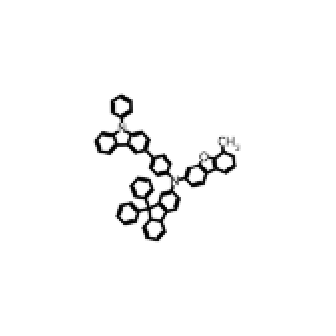 CC1CC=Cc2c1oc1cc(N(c3ccc(-c4ccc5c(c4)c4ccccc4n5-c4ccccc4)cc3)c3ccc4c(c3)C(c3ccccc3)(c3ccccc3)C3C=CC=CC43)ccc21